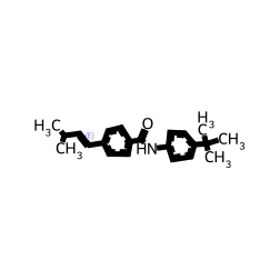 CC(C)/C=C/c1ccc(C(=O)Nc2ccc(C(C)(C)C)cc2)cc1